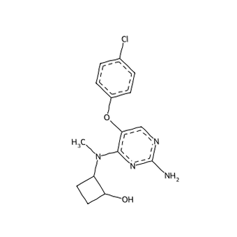 CN(c1nc(N)ncc1Oc1ccc(Cl)cc1)C1CCC1O